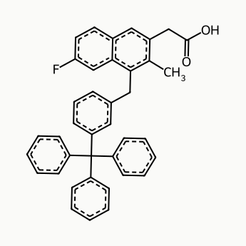 Cc1c(CC(=O)O)cc2ccc(F)cc2c1Cc1cccc(C(c2ccccc2)(c2ccccc2)c2ccccc2)c1